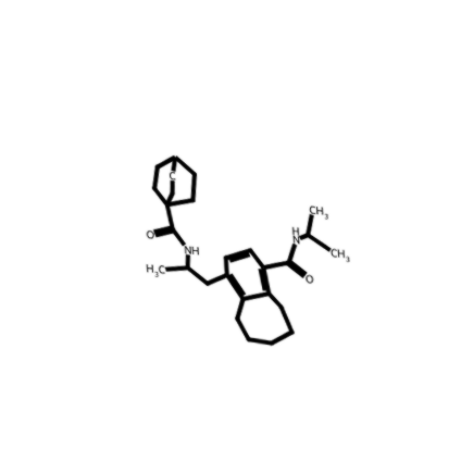 CC(C)NC(=O)c1ccc(CC(C)NC(=O)C23CCC(CC2)CC3)c2c1CCCCC2